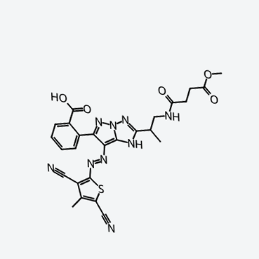 COC(=O)CCC(=O)NCC(C)c1nn2nc(-c3ccccc3C(=O)O)c(N=Nc3sc(C#N)c(C)c3C#N)c2[nH]1